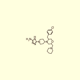 Nc1nnc(N2CCC(N3CC(CN4CCCCC4)OCC3Cc3ccc(Cl)cc3)CC2)[nH]1